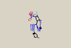 O=[N+]([O-])c1cc2c(Nc3cccc(I)c3)ncnc2cc1F